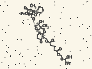 CCCC(O)OCOC(=O)CCCC(=O)OCn1c(=O)ccn([C@@H]2O[C@H](COCP(=O)(N[C@@H](C)C(=O)OC(C)C)Oc3ccccc3)[C@@H](O)[C@@]2(C)F)c1=O